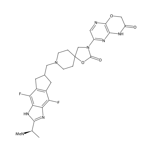 CN[C@H](C)c1nc2c(F)c3c(c(F)c2[nH]1)CC(CN1CCC2(CC1)CN(c1cnc4c(n1)NC(=O)CO4)C(=O)O2)C3